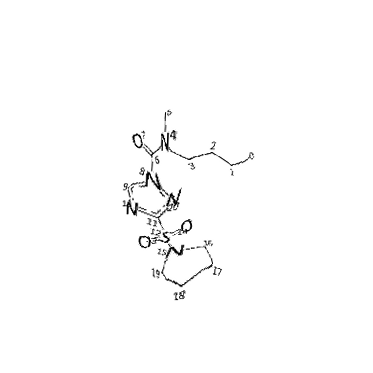 CCCCN(C)C(=O)n1cnc(S(=O)(=O)N2CCCC2)n1